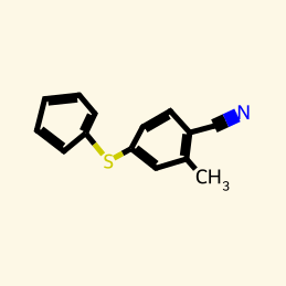 Cc1cc(Sc2ccccc2)ccc1C#N